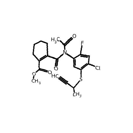 C#CC(C)Sc1cc(N(C(C)=O)C(=O)C2=C(C(=O)OC)CCCC2)c(F)cc1Cl